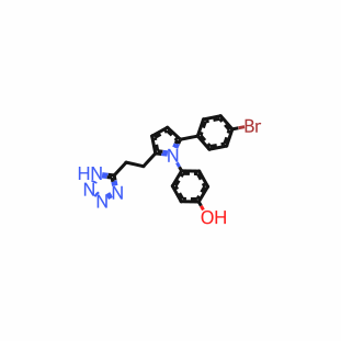 Oc1ccc(-n2c(CCc3nnn[nH]3)ccc2-c2ccc(Br)cc2)cc1